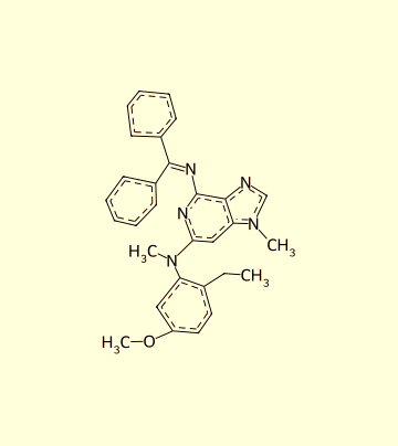 CCc1ccc(OC)cc1N(C)c1cc2c(ncn2C)c(N=C(c2ccccc2)c2ccccc2)n1